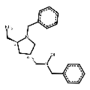 NC[C@@H]1C[C@@H](CN(O)Cc2ccccc2)CN1Cc1ccccc1